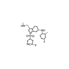 CNCc1cn(S(=O)(=O)c2cncc(F)c2)c2cc(Nc3ccc(F)cc3C)ccc12